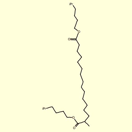 CC(C)CCCCOC(=O)CCCCCCCCCCCCCC(C)C(=O)OCCCCC(C)C